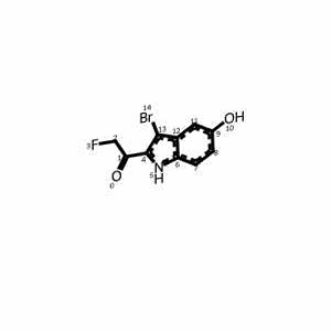 O=C(CF)c1[nH]c2ccc(O)cc2c1Br